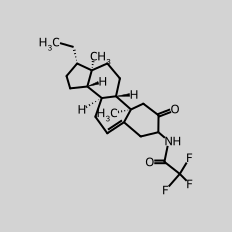 CC[C@H]1CC[C@H]2[C@@H]3CC=C4CC(NC(=O)C(F)(F)F)C(=O)C[C@]4(C)[C@H]3CC[C@]12C